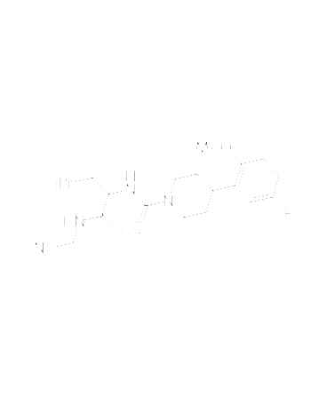 COc1ccc(F)cc1C1=CCN(C(=O)NC(CC(C)C)C(=O)NCC#N)CC1